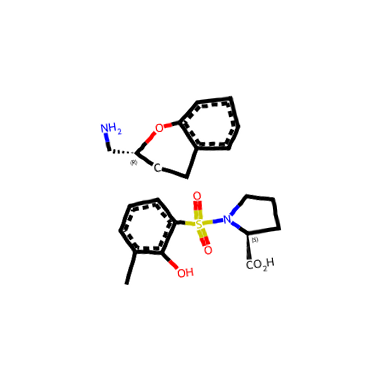 Cc1cccc(S(=O)(=O)N2CCC[C@H]2C(=O)O)c1O.NC[C@H]1CCc2ccccc2O1